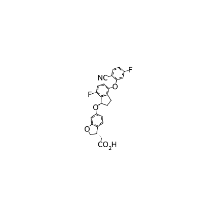 N#Cc1ccc(F)cc1Oc1ccc(F)c2c1CC[C@H]2Oc1ccc2c(c1)OC[C@H]2CC(=O)O